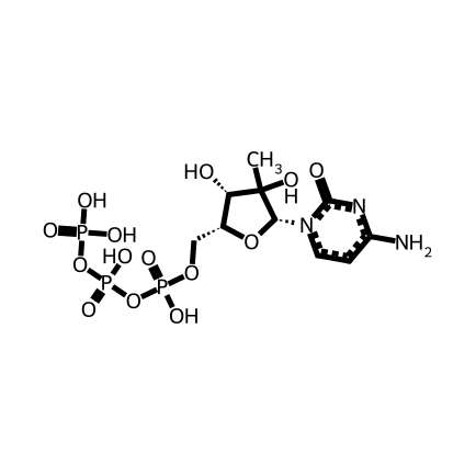 CC1(O)[C@@H](O)[C@@H](COP(=O)(O)OP(=O)(O)OP(=O)(O)O)O[C@H]1n1ccc(N)nc1=O